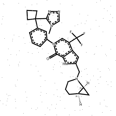 Cn1cnnc1C1(c2cccc(-n3cc(C(F)(F)F)c4cc(CN5CCC[C@@H]6C[C@@H]65)[nH]c4c3=O)c2)CCC1